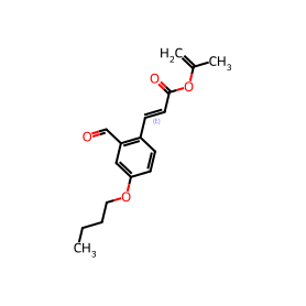 C=C(C)OC(=O)/C=C/c1ccc(OCCCC)cc1C=O